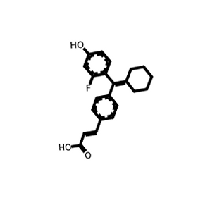 O=C(O)/C=C/c1ccc(C(=C2CCCCC2)c2ccc(O)cc2F)cc1